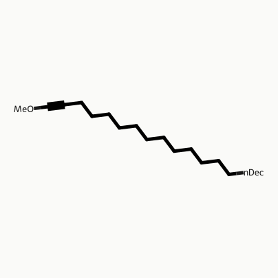 [CH2]OC#CCCCCCCCCCCCCCCCCCCCCCC